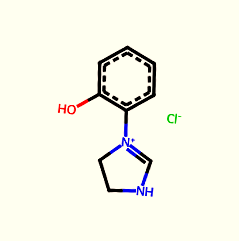 Oc1ccccc1[N+]1=CNCC1.[Cl-]